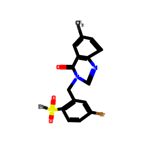 CCS(=O)(=O)c1ccc(Br)cc1Cn1cnc2ccc(C(F)(F)F)cc2c1=O